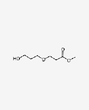 COC(=O)CCOCCCO